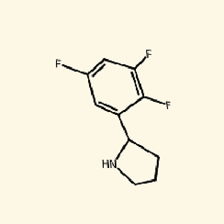 Fc1cc(F)c(F)c(C2CCCN2)c1